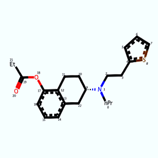 CCCN(CCc1cccs1)[C@H]1CCc2c(cccc2OC(=O)CC)C1